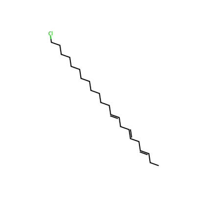 CCC=CCC=CCC=CCCCCCCCCCCCCCl